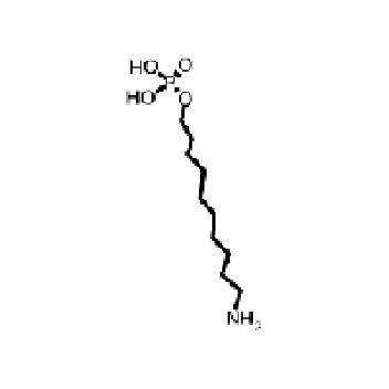 NCCCCCCCCCCOP(=O)(O)O